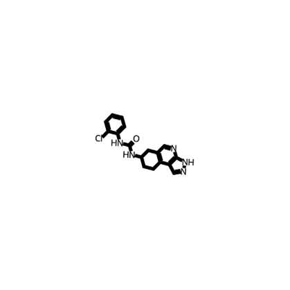 O=C(Nc1ccccc1Cl)NC1CCc2c(cnc3[nH]ncc23)C1